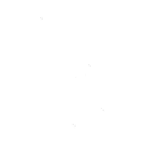 Cc1cc(Nc2ccc3c(c2)C(=O)N(c2cccc(Oc4ccncc4)c2)C3)ccn1